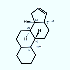 C[C@@]12C=IC[C@H]1[C@@H]1CCC3CCCC[C@@H]3[C@H]1CC2